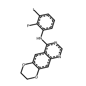 Fc1c(I)cccc1Nc1ncnc2cc3c(cc12)OCCO3